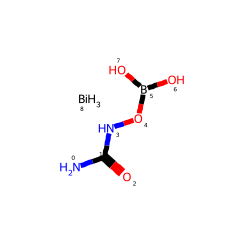 NC(=O)NOB(O)O.[BiH3]